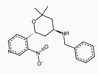 CC1(C)C[C@@H](NCc2ccccc2)C[C@H](c2ccncc2[N+](=O)[O-])O1